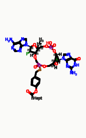 CCCCCCCC(=O)Oc1ccc(CSP2(=O)CO[C@H]3[C@@H](F)[C@H](n4cnc5c(N)ncnc54)O[C@@H]3[C@H](C)OP(=O)(O)O[C@@H]3[C@H](F)[C@@H](CO2)O[C@H]3n2cnc3c(=O)[nH]c(N)nc32)cc1